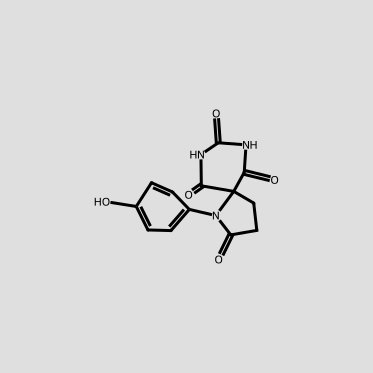 O=C1NC(=O)C2(CCC(=O)N2c2ccc(O)cc2)C(=O)N1